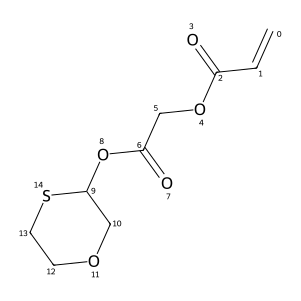 C=CC(=O)OCC(=O)OC1COCCS1